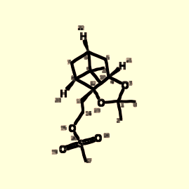 CC1(C)O[C@H]2C[C@H]3C[C@H](C3(C)C)[C@@]2(CCOS(C)(=O)=O)O1